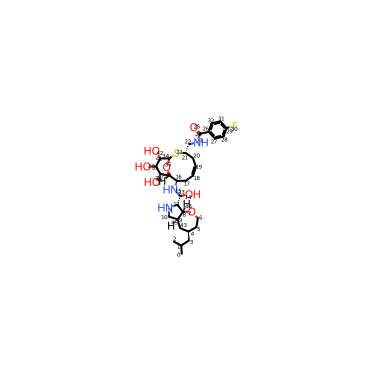 CC(C)C[C@@H]1CCO[C@@H]2[C@H](CN[C@@H]2C(O)N[C@@H]2C/C=C\C[C@@H](CNC(=O)c3ccc(F)cc3)SC3O[C@H]2[C@@H](O)C(O)[C@H]3O)C1